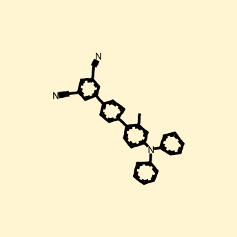 Cc1cc(N(c2ccccc2)c2ccccc2)ccc1-c1ccc(-c2cc(C#N)cc(C#N)c2)cc1